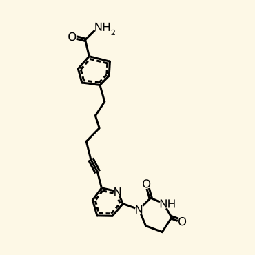 NC(=O)c1ccc(CCCCC#Cc2cccc(N3CCC(=O)NC3=O)n2)cc1